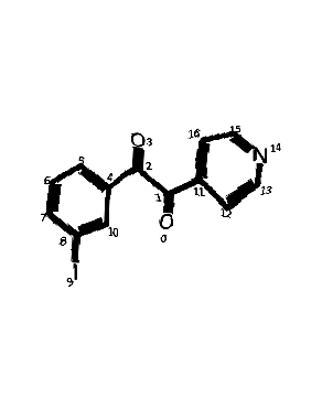 O=C(C(=O)c1cccc(I)c1)c1ccncc1